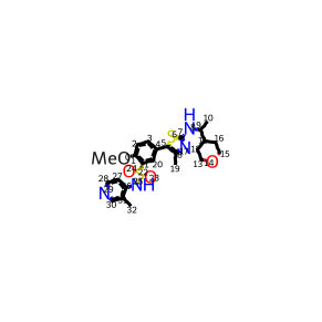 COc1ccc(-c2sc(NC(C)C3CCOCC3)nc2C)cc1S(=O)(=O)Nc1ccncc1C